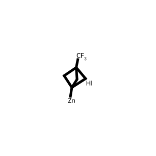 FC(F)(F)C12C[C]([Zn])(C1)C2.I